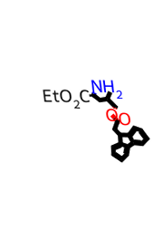 CCOC(=O)[C@@H](N)CC(C)COC(=O)CC1c2ccccc2-c2ccccc21